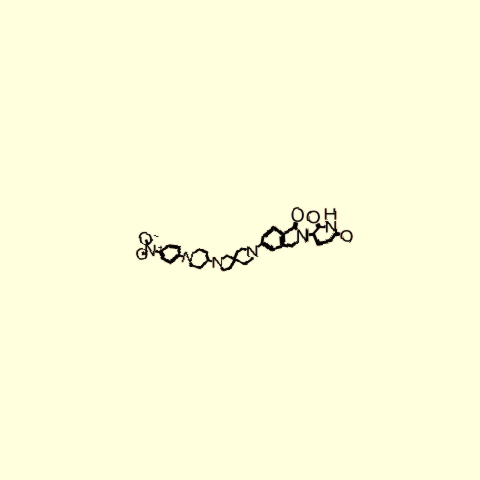 O=C1CCC(N2Cc3cc(N4CCC5(CC4)CCN(C4CCN(c6ccc([N+](=O)[O-])cc6)CC4)C5)ccc3C2=O)C(=O)N1